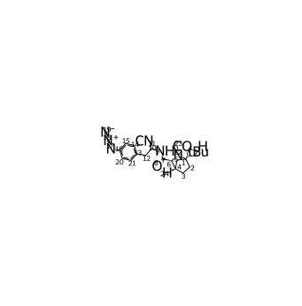 CC(C)(C)[C@@]12CC[C@@H](C1)[C@@H](C(=O)N[C@H](C#N)Cc1ccc(N=[N+]=[N-])cc1)N2C(=O)O